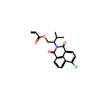 C=CC(=O)OCC(C(C)C)N1C(=O)c2cccc3c(Cl)ccc(c23)C1=O